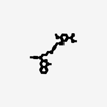 CC#CN(CCCOC#CCNc1cc(C(=O)OC)ccc1OC)C(=O)Cc1ccccc1OC